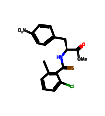 COC(=O)[C@H](Cc1ccc([N+](=O)[O-])cc1)NC(=S)c1c(C)cccc1Cl